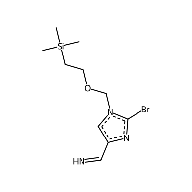 C[Si](C)(C)CCOCn1cc(C=N)nc1Br